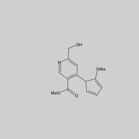 COC(=O)c1cnc(CO)cc1C1C=CC=C1OC